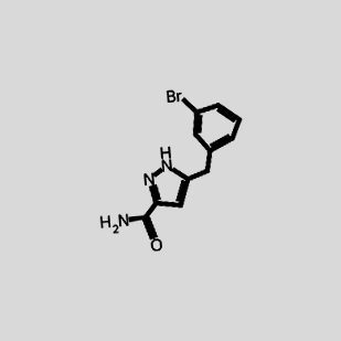 NC(=O)c1cc(Cc2cccc(Br)c2)[nH]n1